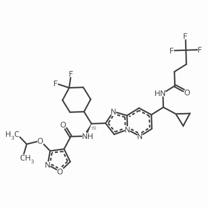 CC(C)Oc1nocc1C(=O)N[C@H](c1cn2ncc(C(NC(=O)CCC(F)(F)F)C3CC3)cc2n1)C1CCC(F)(F)CC1